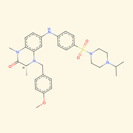 COc1ccc(CN2c3cc(Nc4ccc(S(=O)(=O)N5CCN(C(C)C)CC5)cc4)ccc3N(C)C(=O)[C@H]2C)cc1